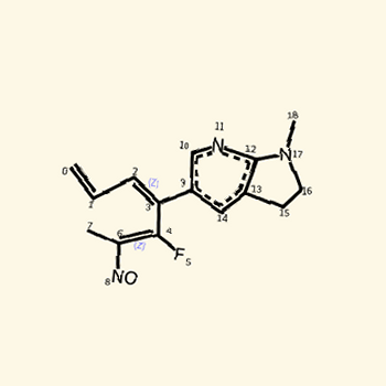 C=C/C=C(\C(F)=C(/C)N=O)c1cnc2c(c1)CCN2C